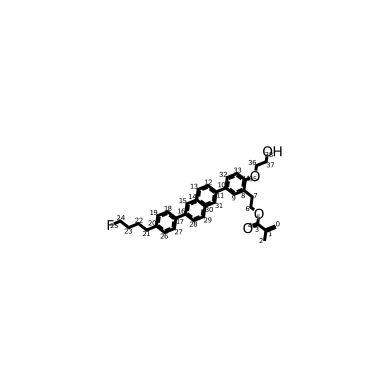 C=C(C)C(=O)OCCc1cc(-c2ccc3cc(-c4ccc(CCCCF)cc4)ccc3c2)ccc1OCCO